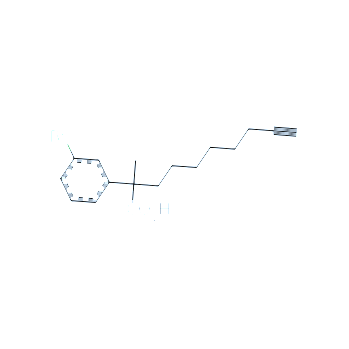 C#CCCCCCCC(C)(C(=O)O)c1cccc(Br)c1